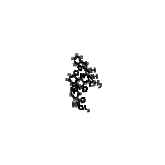 CNC(=O)c1ccnc(NC(=O)C2=C(C)NC(Nc3nc4ccccc4o3)=NC2c2ccccc2Cl)c1